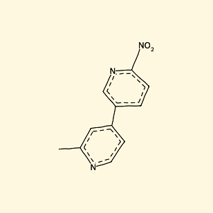 Cc1cc(-c2ccc([N+](=O)[O-])nc2)ccn1